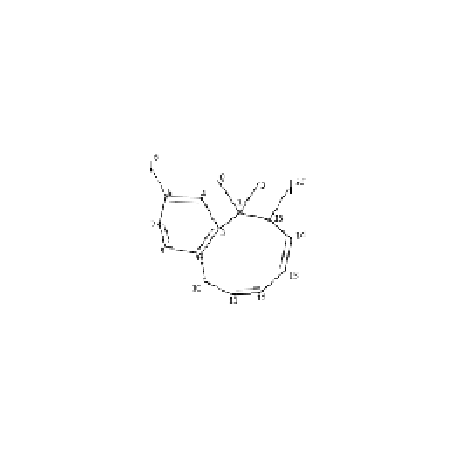 CC1(C)c2cc(I)ccc2C/C=C\C=C/C1I